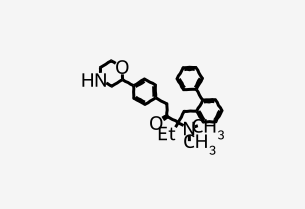 CCC(Cc1ccccc1-c1ccccc1)(C(=O)Cc1ccc(C2CNCCO2)cc1)N(C)C